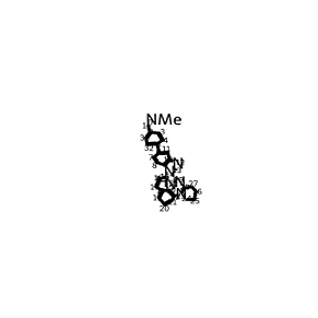 CNCc1ccc(-c2ccc3c(c2)ncn3-c2ccc3cccc(N4CCCCC4N)c3n2)cc1